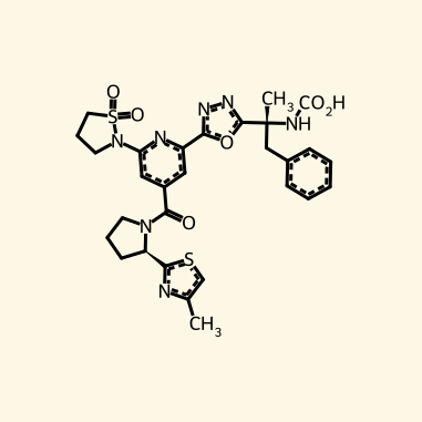 Cc1csc([C@H]2CCCN2C(=O)c2cc(-c3nnc([C@@](C)(Cc4ccccc4)NC(=O)O)o3)nc(N3CCCS3(=O)=O)c2)n1